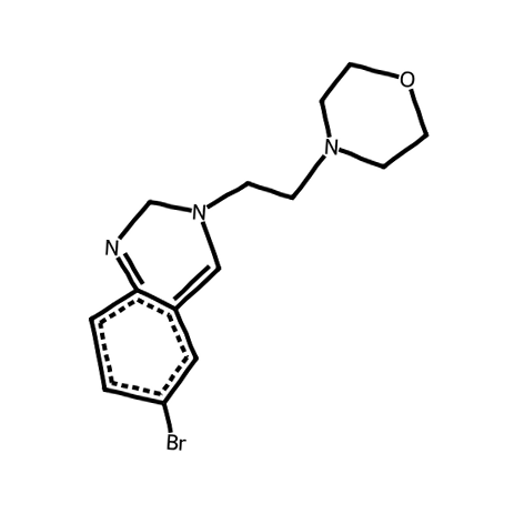 Brc1ccc2c(c1)=CN(CCN1CCOCC1)CN=2